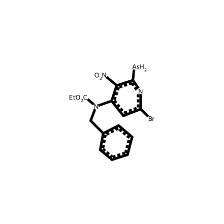 CCOC(=O)N(Cc1ccccc1)c1cc(Br)nc([AsH2])c1[N+](=O)[O-]